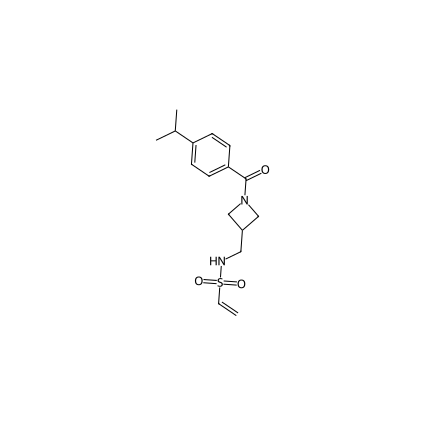 C=CS(=O)(=O)NCC1CN(C(=O)c2ccc(C(C)C)cc2)C1